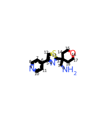 NCC1(c2nc(-c3ccncc3)cs2)CCOCC1